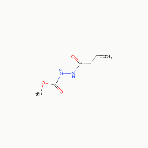 C=CCC(=O)NNC(=O)OC(C)(C)C